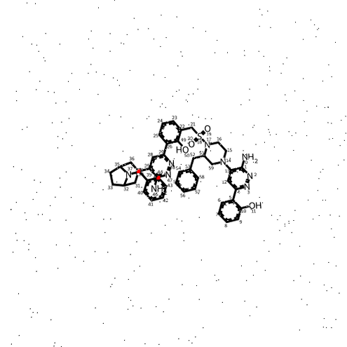 Nc1nnc(-c2ccccc2O)cc1N1CCN(S(=O)(=O)Cc2cccc(-c3cc(N4CC5CCC(C4)N5Cc4ccccc4)c(N)nn3)c2O)C(Cc2ccccc2)C1